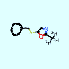 [2H]C([2H])([2H])c1ncc(SCc2ccccc2)o1